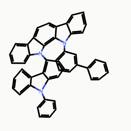 c1ccc(-c2cccc(-n3c4ccccc4c4ccc5c6ccccc6n(-c6cccc7c6c6ccccc6n7-c6ccccc6)c5c43)c2)cc1